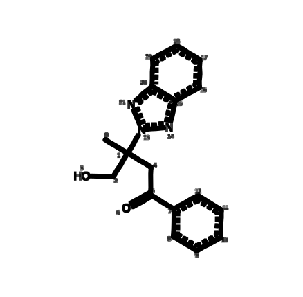 CC(CO)(CC(=O)c1ccccc1)n1nc2ccccc2n1